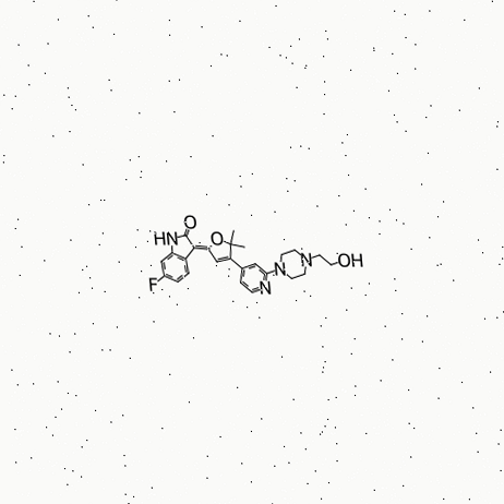 CC1(C)OC(=C2C(=O)Nc3cc(F)ccc32)C=C1c1ccnc(N2CCN(CCO)CC2)c1